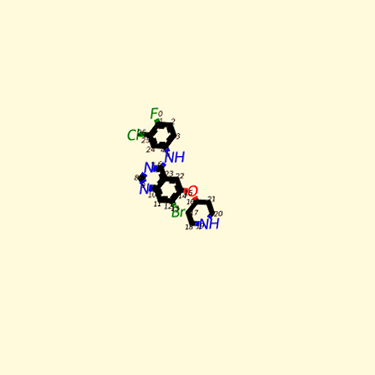 Fc1ccc(Nc2ncnc3cc(Br)c(OC4CCNCC4)cc23)cc1Cl